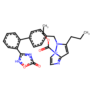 CCCC1=CC2=NC=C[N+]2(C(=O)OCC)N1Cc1ccc(-c2ccccc2-c2nc(=O)o[nH]2)cc1